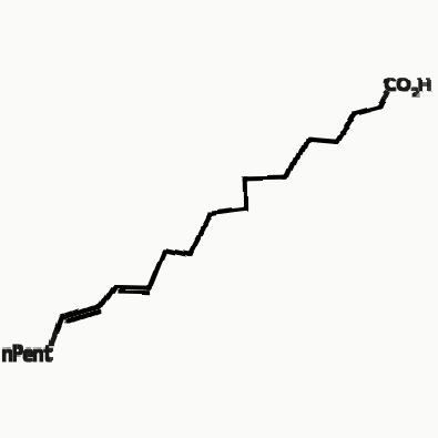 CCCCC/C=C/C=C/CCCCCCCCCCC(=O)O